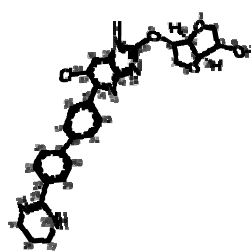 O[C@@H]1CO[C@H]2[C@@H]1OC[C@H]2Oc1nc2nc(-c3ccc(-c4ccc(C5=NCCCN5)cc4)cc3)c(Cl)cc2[nH]1